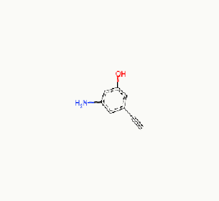 C#Cc1cc(N)cc(O)c1